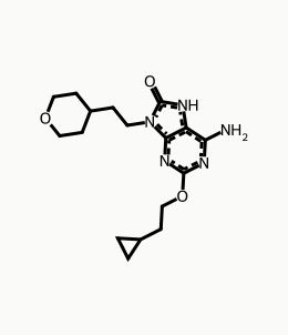 Nc1nc(OCCC2CC2)nc2c1[nH]c(=O)n2CCC1CCOCC1